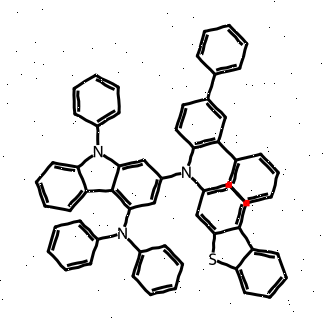 c1ccc(-c2ccc(N(c3ccc4c(c3)sc3ccccc34)c3cc(N(c4ccccc4)c4ccccc4)c4c5ccccc5n(-c5ccccc5)c4c3)c(-c3ccccc3)c2)cc1